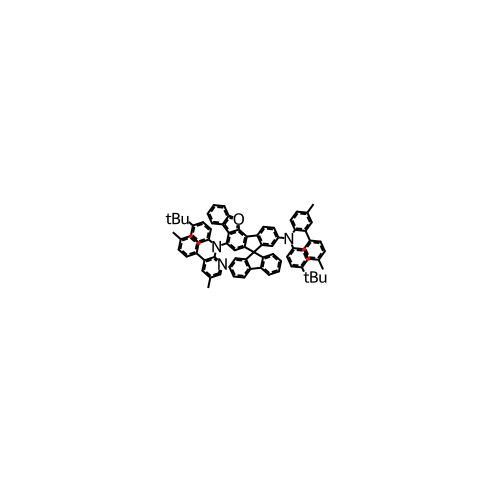 Cc1ccc(-c2cc(C)ccc2N(c2ccc(C(C)(C)C)cc2)c2ccc3c(c2)C2(c4ccccc4-c4ccccc42)c2cc(N(c4ccc(C(C)(C)C)cc4)c4ncc(C)cc4-c4ccc(C)cc4)c4c(oc5ccccc54)c2-3)cc1